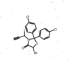 C#CC(I)N1C(=O)C(C(C)C)SC1(c1ccc(Cl)cc1)c1ccc(Cl)cc1